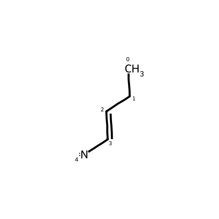 CCC=C[N]